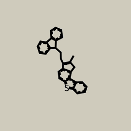 CC1=C(CCC2c3ccccc3-c3ccccc32)c2ccc3sc4ccccc4c3c2C1